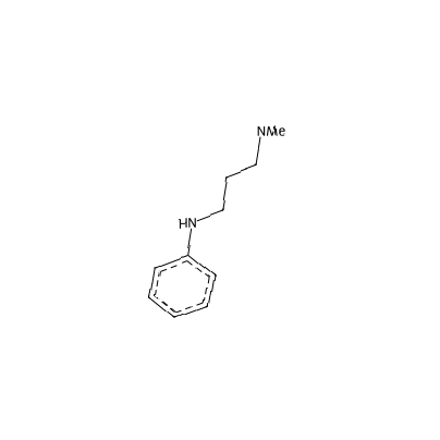 [CH2]NCCCNc1ccccc1